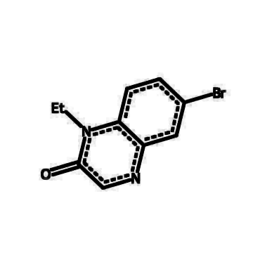 CCn1c(=O)cnc2cc(Br)ccc21